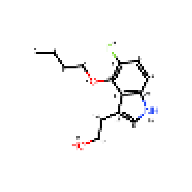 CCCCOc1c(F)ccc2[nH]cc(CCO)c12